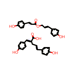 O=C(/C=C/c1ccc(O)cc1)OCC=Cc1ccc(O)cc1.O=C(O)/C(=C/c1ccc(O)cc1)C/C=C/c1ccc(O)cc1